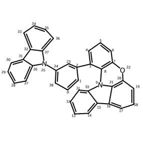 c1cc(-c2cccc3c2-n2c4ccccc4c4cccc(c42)O3)cc(-n2c3ccccc3c3ccccc32)c1